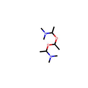 CC(OC(C)N(C)C)OC(C)N(C)C